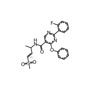 CC(/C=C/S(C)(=O)=O)NC(=O)c1cnc(-c2ccccc2F)nc1Oc1ccccc1